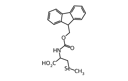 C[Se]CC(NC(=O)OCC1c2ccccc2-c2ccccc21)C(=O)O